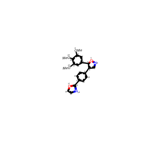 COc1cc(-c2oncc2-c2ccc(-c3ncco3)cc2)cc(OC)c1OC